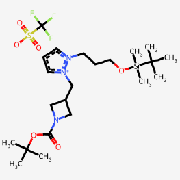 CC(C)(C)OC(=O)N1CC(C[n+]2cccn2CCCO[Si](C)(C)C(C)(C)C)C1.O=S(=O)([O-])C(F)(F)F